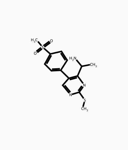 CSc1ncc(-c2ccc(S(C)(=O)=O)cc2)c(C(C)N)n1